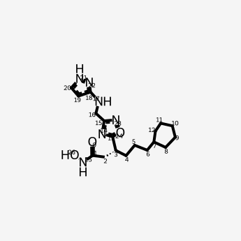 O=C(C[C@@H](CCCC1CCCCC1)c1nc(CNc2cc[nH]n2)no1)NO